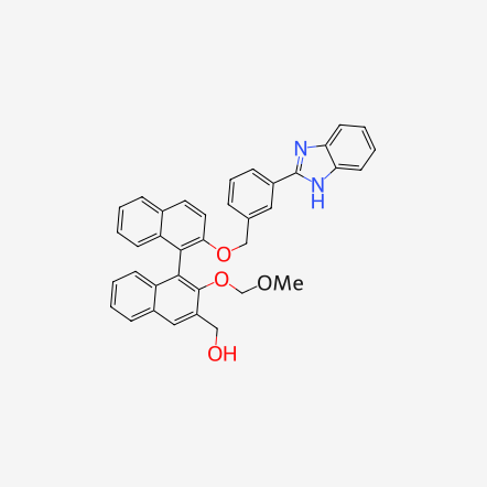 COCOc1c(CO)cc2ccccc2c1-c1c(OCc2cccc(-c3nc4ccccc4[nH]3)c2)ccc2ccccc12